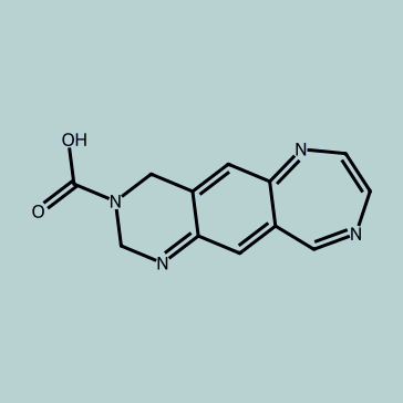 O=C(O)N1CN=c2cc3c(cc2C1)=NC=CN=C3